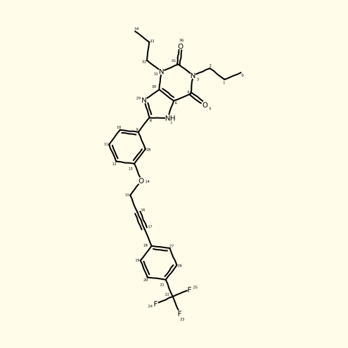 CCCn1c(=O)c2[nH]c(-c3cccc(OCC#Cc4ccc(C(F)(F)F)cc4)c3)nc2n(CCC)c1=O